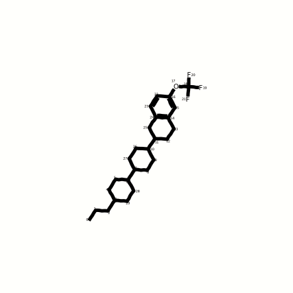 CCCC1CCC(C2CCC(C3CCc4cc(OC(F)(F)F)ccc4C3)CC2)CC1